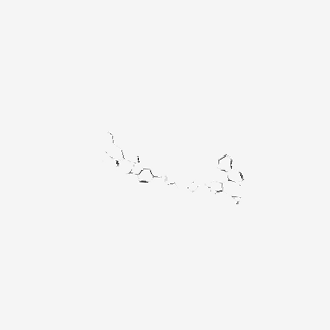 NC(=O)C(CCC=O)N1C(=O)c2ccc(NCCC[C@H]3C[C@H](N4CC(c5nccc6cccnc56)C(C5CC5)=N4)C3)cc2C1=O